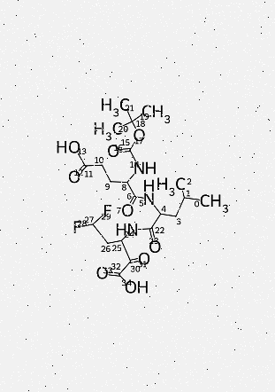 CC(C)CC(NC(=O)C(CCC(=O)O)NC(=O)OC(C)(C)C)C(=O)NC(CC(F)F)C(=O)C(=O)O